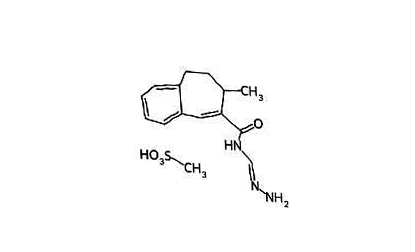 CC1CCc2ccccc2C=C1C(=O)NC=NN.CS(=O)(=O)O